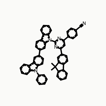 CC1(C)c2ccccc2-c2ccc(-c3cc(-c4ccc(C#N)cc4)nc(-n4c5ccccc5c5ccc(-c6ccc7c(c6)c6ccccc6n7-c6ccccc6)cc54)n3)cc21